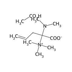 C=CCC(C(=O)[O-])(N(C)C)[N+](C)(C)C.CC(=O)O